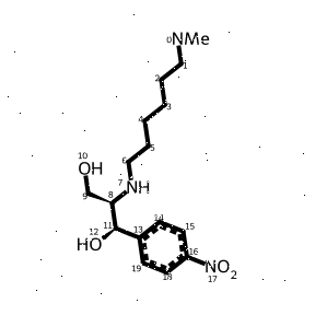 CNCCCCCCN[C@H](CO)[C@H](O)c1ccc([N+](=O)[O-])cc1